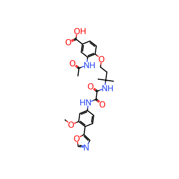 COc1cc(NC(=O)C(=O)NC(C)(C)CCOc2ccc(C(=O)O)cc2NC(C)=O)ccc1-c1cnco1